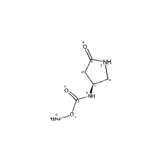 CC(C)(C)OC(=O)N[C@@H]1CNC(=O)C1